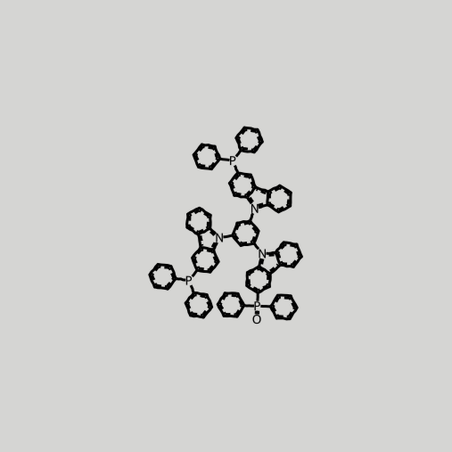 O=P(c1ccccc1)(c1ccccc1)c1ccc2c(c1)c1ccccc1n2-c1cc(-n2c3ccccc3c3cc(P(c4ccccc4)c4ccccc4)ccc32)cc(-n2c3ccccc3c3cc(P(c4ccccc4)c4ccccc4)ccc32)c1